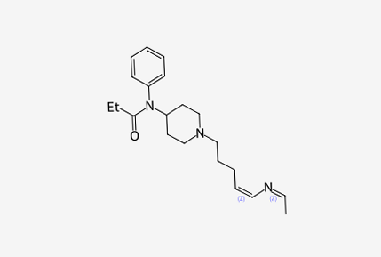 C/C=N\C=C/CCCN1CCC(N(C(=O)CC)c2ccccc2)CC1